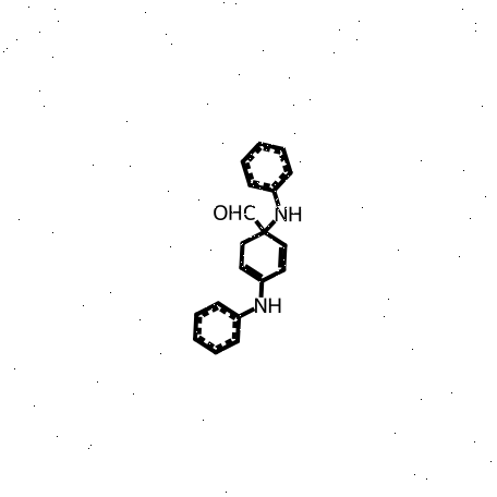 O=CC1(Nc2ccccc2)C=CC(Nc2ccccc2)=CC1